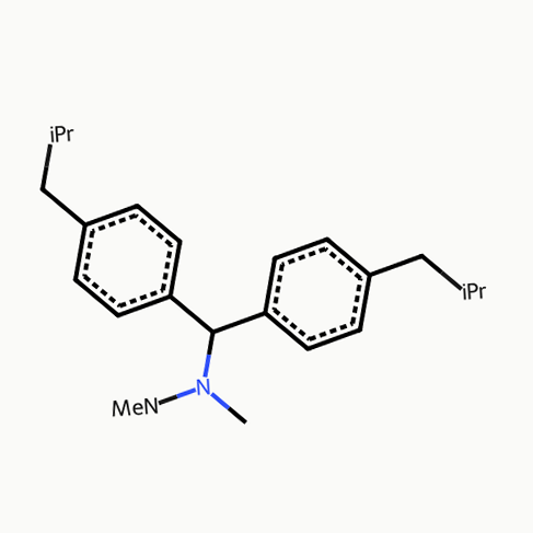 CNN(C)C(c1ccc(CC(C)C)cc1)c1ccc(CC(C)C)cc1